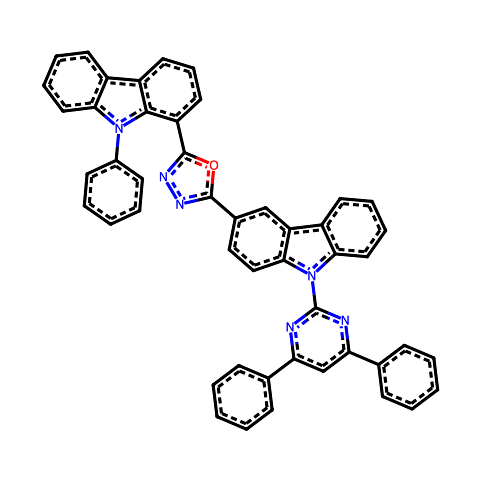 c1ccc(-c2cc(-c3ccccc3)nc(-n3c4ccccc4c4cc(-c5nnc(-c6cccc7c8ccccc8n(-c8ccccc8)c67)o5)ccc43)n2)cc1